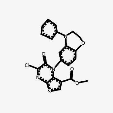 COC(=O)c1csc2nc(Cl)c(=O)n(-c3ccc4c(c3)N(c3ccccc3)CCO4)c12